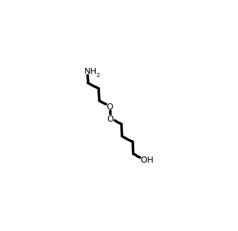 NCCCOOCCCCO